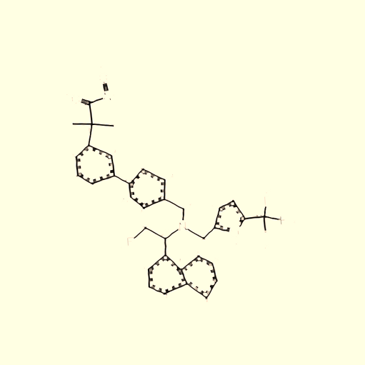 CC(C)(C(=O)N=O)c1cccc(-c2ccc(CN(Cc3ccc(C(F)(F)F)o3)C(CF)c3cccc4ccccc34)cc2)c1